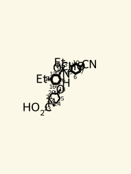 CCOC(C=O)(Nc1ccc(C#N)cc1)c1cc(CC)cc(OC2CCN(C(=O)O)CC2)c1